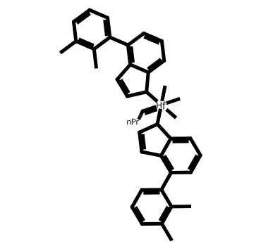 CCC[CH]=[Hf]([CH3])([CH3])([CH3])([CH]1C=Cc2c(-c3cccc(C)c3C)cccc21)[CH]1C=Cc2c(-c3cccc(C)c3C)cccc21